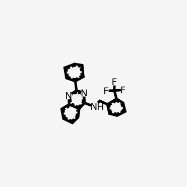 FC(F)(F)c1ccccc1CNc1nc(-c2ccccc2)nc2ccccc12